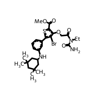 CCN(C(N)=O)C(=O)COc1c(C(=O)OC)sc(-c2cccc(NC3CC(C)(C)CC(C)(C)C3)c2)c1Br